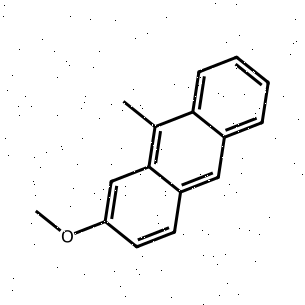 COc1ccc2cc3ccccc3c(C)c2c1